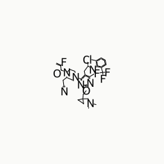 C=C(F)C(=O)N1CCN(c2nc(OCC3(CN(C)C)CC3)nc3c2C[C@@H](C)N(c2c(Cl)cccc2C(F)(F)F)C3)CC1CC#N